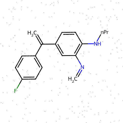 C=Nc1cc(C(=C)c2ccc(F)cc2)ccc1NCCC